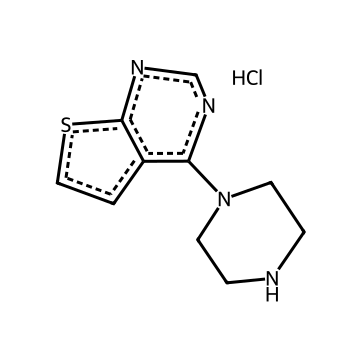 Cl.c1nc(N2CCNCC2)c2ccsc2n1